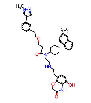 Cn1cc(-c2cccc(CCOCCC(=O)N(CCNCCc3ccc(O)c4c3OCC(=O)N4)C3CCCCC3)c2)cn1.O=S(=O)(O)c1ccc2ccccc2c1